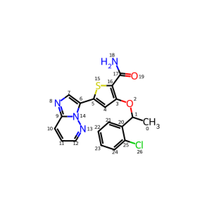 CC(Oc1cc(-c2cnc3cccnn23)sc1C(N)=O)c1ccccc1Cl